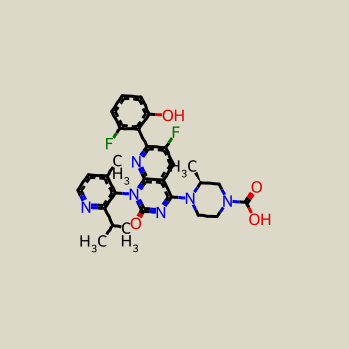 Cc1ccnc(C(C)C)c1-n1c(=O)nc(N2CCN(C(=O)O)C[C@@H]2C)c2cc(F)c(-c3c(O)cccc3F)nc21